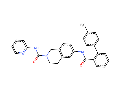 O=C(Nc1ccc2c(c1)CCN(C(=O)Nc1ccccn1)C2)c1ccccc1-c1ccc(C(F)(F)F)cc1